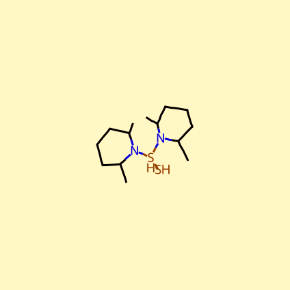 CC1CCCC(C)N1[SH](S)N1C(C)CCCC1C